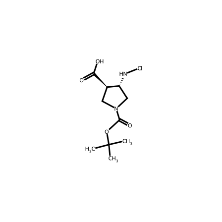 CC(C)(C)OC(=O)N1C[C@@H](NCl)[C@H](C(=O)O)C1